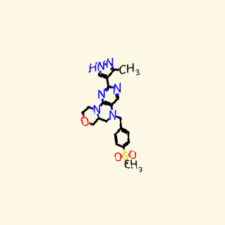 Cc1n[nH]cc1-c1ncc2c(n1)N1CCOCC1CN2Cc1ccc(S(C)(=O)=O)cc1